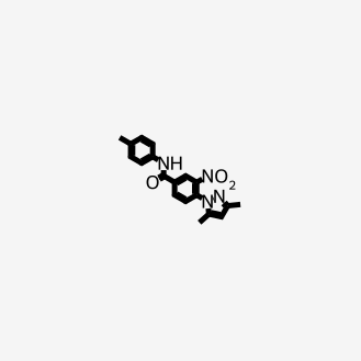 Cc1ccc(NC(=O)c2ccc(-n3nc(C)cc3C)c([N+](=O)[O-])c2)cc1